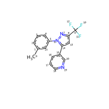 Cc1cccc(-n2nc(C(F)(F)F)cc2-c2cccnc2)c1